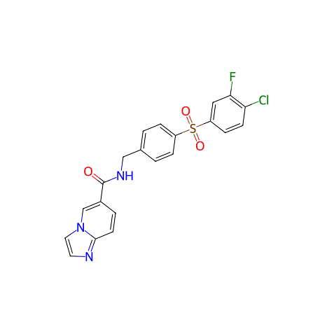 O=C(NCc1ccc(S(=O)(=O)c2ccc(Cl)c(F)c2)cc1)c1ccc2nccn2c1